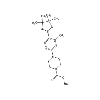 Cc1cc(N2CCN(C(=O)OC(C)(C)C)CC2)ncc1B1OC(C)(C)C(C)(C)O1